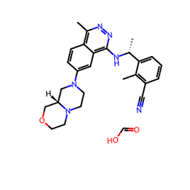 Cc1c(C#N)cccc1[C@@H](C)Nc1nnc(C)c2ccc(N3CCN4CCOC[C@@H]4C3)cc12.O=CO